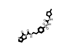 CC1CCC(NC(=O)NS(=O)(=O)c2ccc(CCNC(=O)N3Cc4ccsc4C3=O)cc2)C1